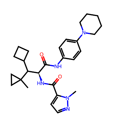 Cn1nccc1C(=O)N[C@H](C(=O)Nc1ccc(N2CCCCC2)cc1)C(C1CCC1)C1(C)CC1